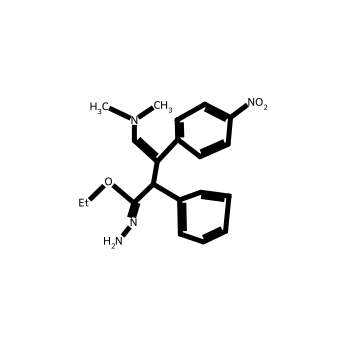 CCOC(=NN)C(C(=CN(C)C)c1ccc([N+](=O)[O-])cc1)c1ccccc1